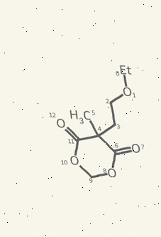 CCOCCC1(C)C(=O)OCOC1=O